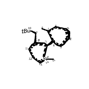 Cc1ccccc1-c1c(CC(C)(C)C)ccc[n+]1C